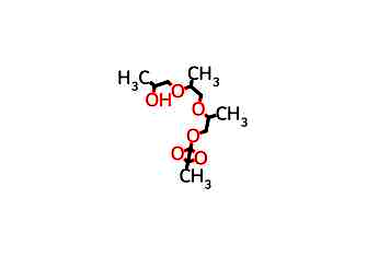 CC(O)COC(C)COC(C)COC12OC1(C)O2